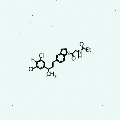 CCC(=O)NCC(=O)n1ccc2cc(/C=C/C(C)c3cc(Cl)c(F)c(Cl)c3)ccc21